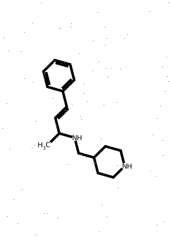 CC(/C=C/c1ccccc1)NCC1CCNCC1